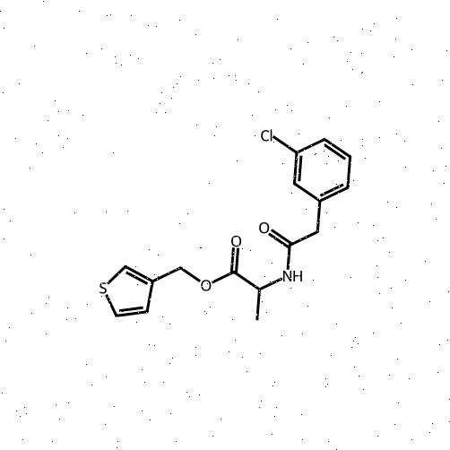 CC(NC(=O)Cc1cccc(Cl)c1)C(=O)OCc1ccsc1